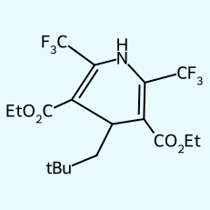 CCOC(=O)C1=C(C(F)(F)F)NC(C(F)(F)F)=C(C(=O)OCC)C1CC(C)(C)C